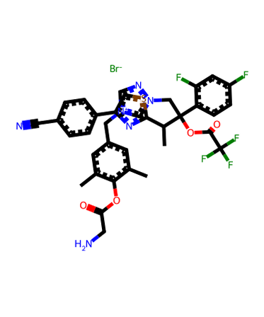 Cc1cc(C[n+]2cnn(CC(OC(=O)C(F)(F)F)(c3ccc(F)cc3F)C(C)c3nc(-c4ccc(C#N)cc4)cs3)c2)cc(C)c1OC(=O)CN.[Br-]